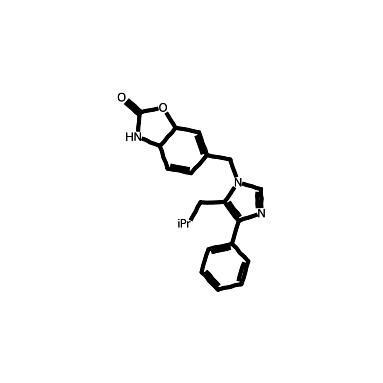 CC(C)Cc1c(-c2ccccc2)ncn1CC1=CC2OC(=O)NC2C=C1